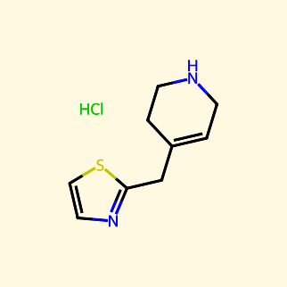 C1=C(Cc2nccs2)CCNC1.Cl